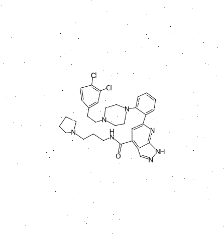 O=C(NCCCN1CCCC1)c1cc(-c2ccccc2N2CCN(CCc3ccc(Cl)c(Cl)c3)CC2)nc2[nH]ncc12